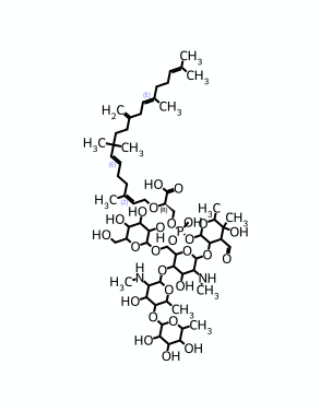 C=C(C/C=C(\C)CCC=C(C)C)CCC(C)(C)/C=C/CC/C(C)=C\CO[C@H](COP(=O)(O)OC1OC(C)C(C)(O)C(C=O)C1OC1OC(COC2OC(CO)C(O)C(O)C2O)C(OC2OC(C)C(OC3OC(C)C(O)C(O)C3O)C(O)C2NC)C(O)C1NC)C(=O)O